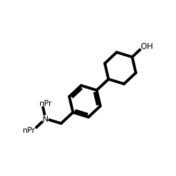 CCCN(CCC)Cc1ccc(C2CCC(O)CC2)cc1